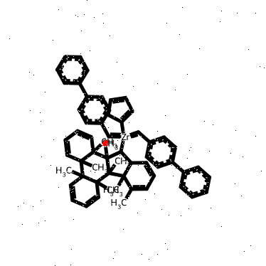 CC1=CC=CC2[CH]([Zr](=[CH]c3ccc(-c4ccccc4)cc3)(=[CH]c3ccc(-c4ccccc4)cc3)[C]3=CC=CC3)C3(C)C4(C)C=CC=CC4(C)C4(C)C=CC=CC4(C)C3(C)C12C